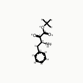 CC(C)(C)OC(=O)C(=O)[C@@H]([NH])Cc1ccccc1